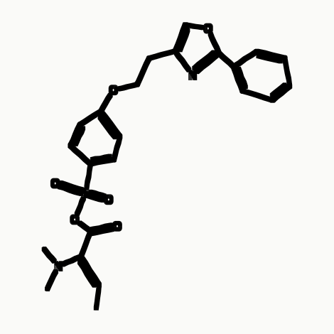 CC=C(C(=O)OS(=O)(=O)c1ccc(OCCc2coc(-c3ccccc3)n2)cc1)N(C)C